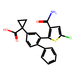 NC(=O)c1cc(Cl)sc1-c1cc(C2(C(=O)O)CC2)ccc1-c1ccccc1